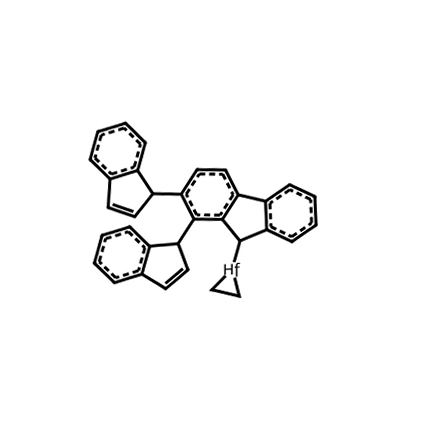 C1=CC(c2ccc3c(c2C2C=Cc4ccccc42)[CH]([Hf]2[CH2][CH2]2)c2ccccc2-3)c2ccccc21